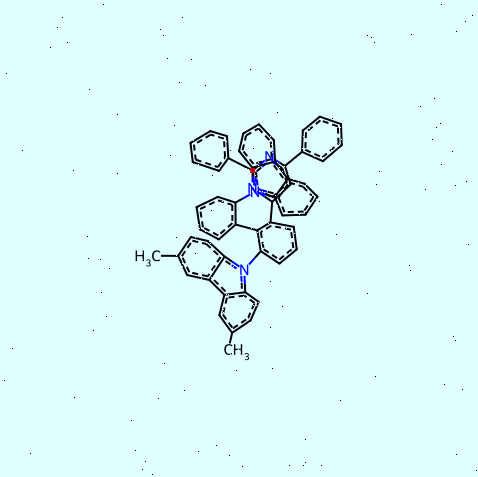 Cc1ccc2c(c1)c1cc(C)ccc1n2-c1cccc(-c2cc(-c3ccccc3)nc(-c3ccccc3)n2)c1-c1ccccc1-n1c2ccccc2c2ccccc21